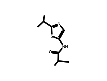 CC(C)C(=O)Nc1cnc(C(C)C)s1